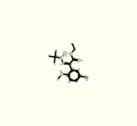 CCOC(=O)/C(=N\[S@+]([O-])C(C)(C)C)c1cc(Br)ccc1OC